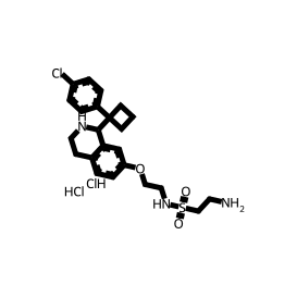 Cl.Cl.NCCS(=O)(=O)NCCOc1ccc2c(c1)C(C1(c3ccc(Cl)cc3)CCC1)NCC2